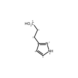 O=C(O)CCc1cc[nH]n1